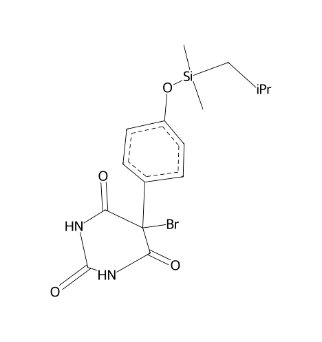 CC(C)C[Si](C)(C)Oc1ccc(C2(Br)C(=O)NC(=O)NC2=O)cc1